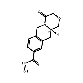 O=C(NO)c1ccc2c(c1)C[C@H]1COCC(=O)N1C2